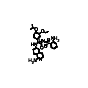 CCOc1cc(C(Nc2ccc3c(N)nccc3c2)C(=O)NS(=O)(=O)c2ccccc2N)ccc1OC(C)C